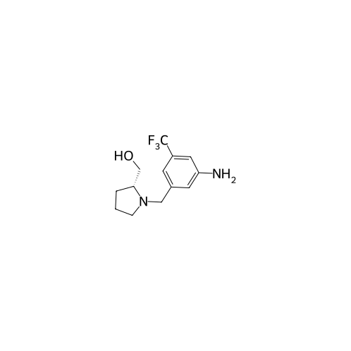 Nc1cc(CN2CCC[C@@H]2CO)cc(C(F)(F)F)c1